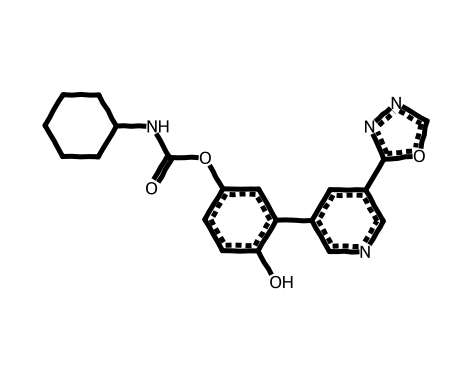 O=C(NC1CCCCC1)Oc1ccc(O)c(-c2cncc(-c3nnco3)c2)c1